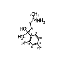 CN(N)CCC(C)(O)c1ccc(F)cc1F